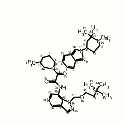 C[C@H]1CC[C@H](c2ccc3nn([C@@H]4CCN(C)C(C)(C)C4)cc3c2)N(C(=O)C(=O)Nc2cncc3cnn(COCC[Si](C)(C)C)c23)C1